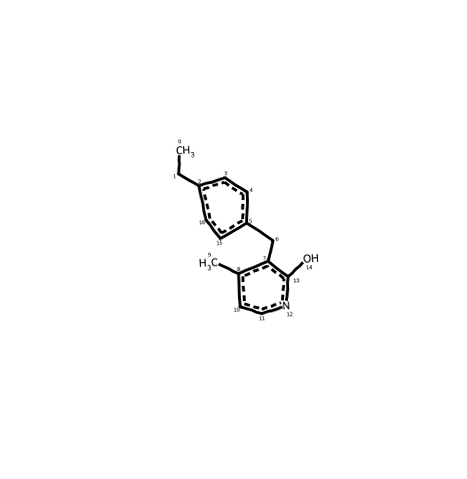 CCc1ccc(Cc2c(C)ccnc2O)cc1